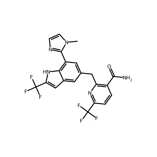 Cn1ccnc1-c1cc(Cc2nc(C(F)(F)F)ccc2C(N)=O)cc2cc(C(F)(F)F)[nH]c12